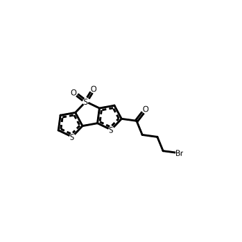 O=C(CCCBr)c1cc2c(s1)-c1sccc1S2(=O)=O